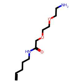 C=CCCCNC(=O)COCCOCCN